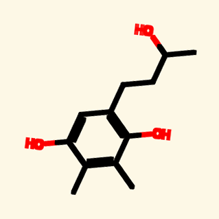 Cc1c(O)cc(CCC(C)O)c(O)c1C